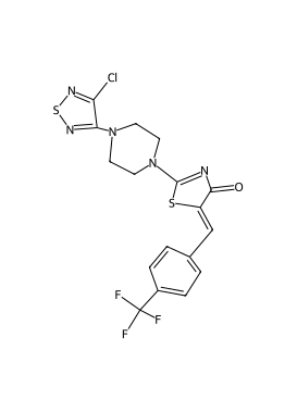 O=C1N=C(N2CCN(c3nsnc3Cl)CC2)SC1=Cc1ccc(C(F)(F)F)cc1